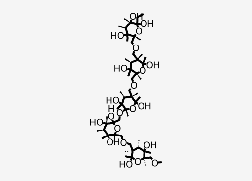 CCC1(O)O[C@](C)(COC[C@@]2(C)[C@H](C)C(C)(O)[C@@](C)(COC[C@@]3(C)[C@H](C)C(C)(O)[C@@](C)(OCC4(O)O[C@](C)(COC[C@@]5(C)[C@H](C)C(C)(O)[C@@](C)(COC)OC5(C)O)C(C)(O)[C@@H](C)[C@]4(C)O)OC3(C)O)OC2(C)O)C(C)(O)[C@@H](C)[C@]1(C)O